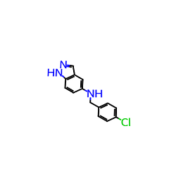 Clc1ccc(CNc2ccc3[nH]ncc3c2)cc1